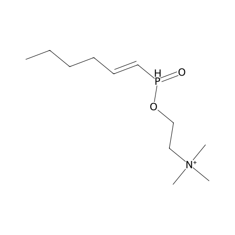 CCCCC=C[PH](=O)OCC[N+](C)(C)C